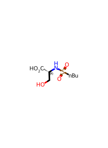 CCCCS(=O)(=O)N[C@H](CO)C(=O)O